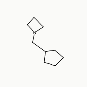 C1CCC(CN2CCC2)C1